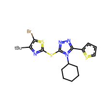 CC(C)(C)c1nc(Sc2nnc(-c3cccs3)n2C2CCCCC2)sc1Br